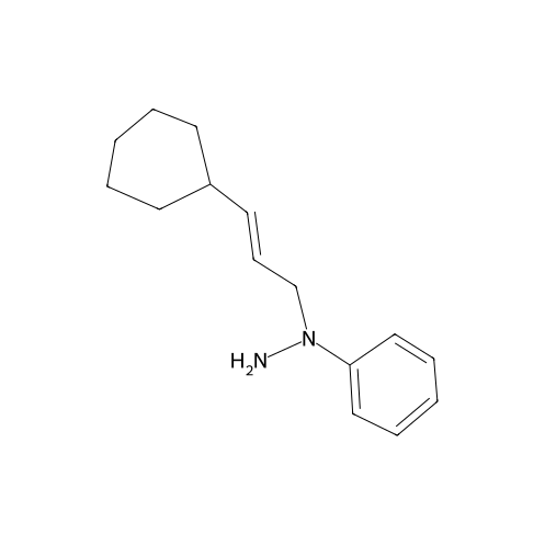 NN(CC=CC1CCCCC1)c1ccccc1